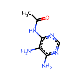 CC(=O)Nc1ncnc(N)c1N